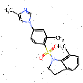 Cc1cn(-c2ccc(S(=O)(=O)N3CCc4cccc(C)c43)c(C)c2)cn1